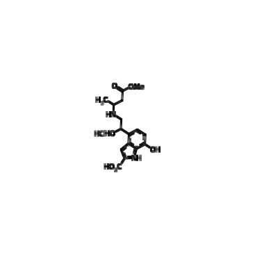 COC(=O)CC(C)NCC(O)c1ccc(O)c2[nH]c(C(=O)O)cc12.Cl